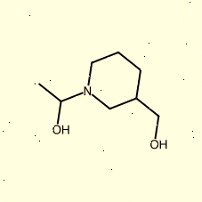 [CH2]C(O)N1CCCC(CO)C1